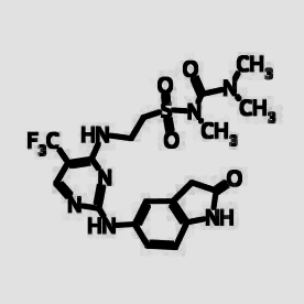 CN(C)C(=O)N(C)S(=O)(=O)CCNc1nc(Nc2ccc3c(c2)CC(=O)N3)ncc1C(F)(F)F